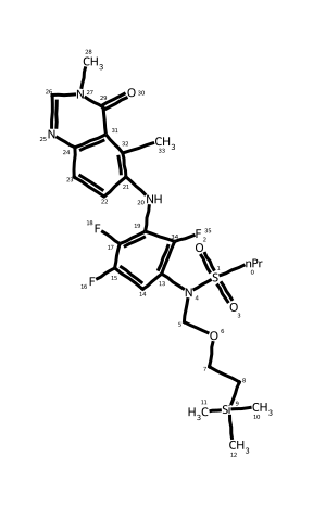 CCCS(=O)(=O)N(COCC[Si](C)(C)C)c1cc(F)c(F)c(Nc2ccc3ncn(C)c(=O)c3c2C)c1F